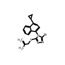 C=C(C)CSc1nnc(Br)n1-c1ccc(C2CC2)c2ccccc12